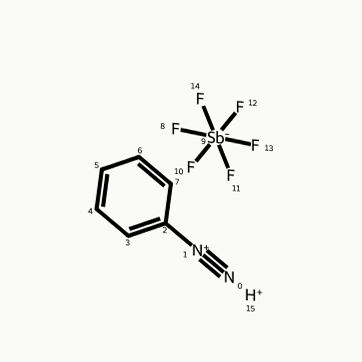 N#[N+]c1ccccc1.[F][Sb-]([F])([F])([F])([F])[F].[H+]